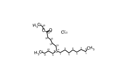 CCCCCCCC[S+](CCCC)CCCCC(=O)OCC.[Cl-]